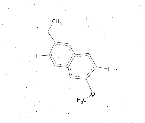 CCc1cc2cc(I)c(OC)cc2cc1I